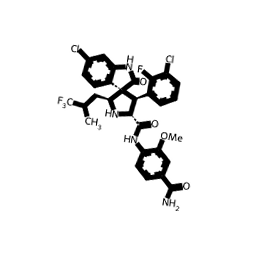 COc1cc(C(N)=O)ccc1NC(=O)[C@@H]1N[C@@H](CC(C)C(F)(F)F)[C@@]2(C(=O)Nc3cc(Cl)ccc32)[C@H]1c1cccc(Cl)c1F